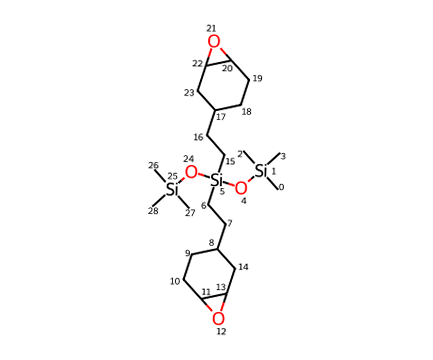 C[Si](C)(C)O[Si](CCC1CCC2OC2C1)(CCC1CCC2OC2C1)O[Si](C)(C)C